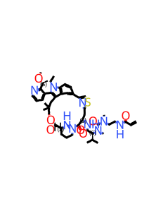 C=CC(=O)NCCN(C)C(=O)N(C)[C@H](C(=O)N[C@H]1Cc2nc(cs2)-c2ccc3c(c2)c(c(-c2cccnc2[C@H](C)OC)n3CC)CC(C)(C)COC(=O)[C@@H]2CCCN(N2)C1=O)C(C)C